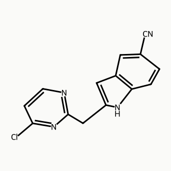 N#Cc1ccc2[nH]c(Cc3nccc(Cl)n3)cc2c1